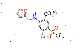 O=C(O)c1cc(S(=O)(=O)C(F)(F)F)c(Cl)cc1NCc1ccco1